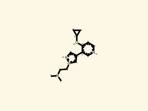 CN(C)CCn1cc(-c2cnccc2OC2CC2)cn1